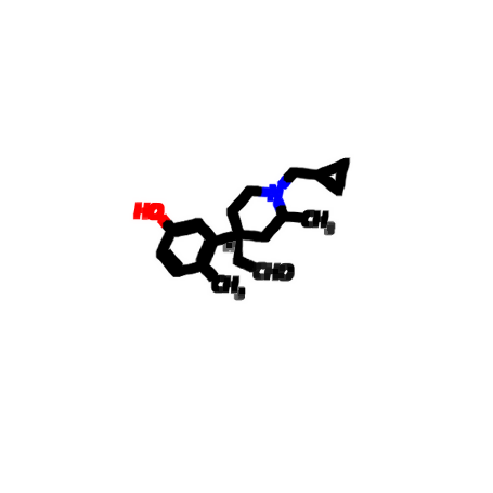 Cc1ccc(O)cc1[C@]1(CC=O)CCN(CC2CC2)C(C)C1